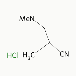 CNCC(C)C#N.Cl